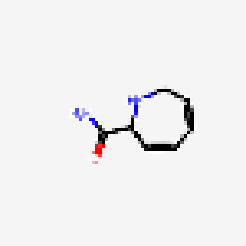 NC(=O)C1C=CC=CCN1